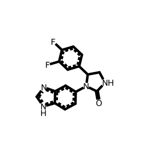 O=C1NCC(c2ccc(F)c(F)c2)N1c1ccc2[nH]cnc2c1